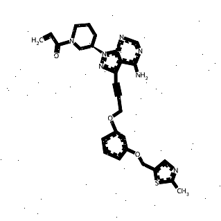 C=CC(=O)N1CCC[C@@H](n2nc(C#CCOc3cccc(OCc4cnc(C)s4)c3)c3c(N)ncnc32)C1